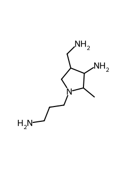 CC1C(N)C(CN)CN1CCCN